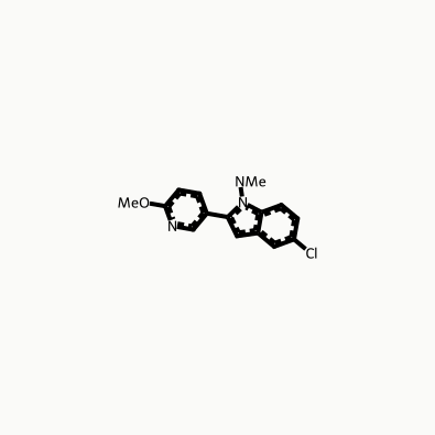 CNn1c(-c2ccc(OC)nc2)cc2cc(Cl)ccc21